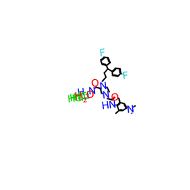 Cc1cc(N(C)C)cc(C)c1NC(=O)CN1CCN(CCCC(c2ccc(F)cc2)c2ccc(F)cc2)C(C(N)=O)C1.Cl.Cl.Cl.O